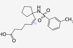 Cc1cccc(S(=O)(=O)NC2(/C=C\CCCC(=O)O)CCCC2)c1